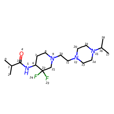 CC(C)C(=O)NC1CCN(CCN2CCN(C(C)C)CC2)CC1(F)F